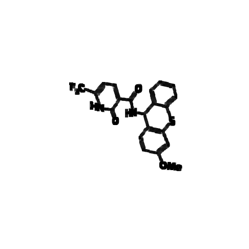 COc1ccc2c(c1)Sc1ccccc1C2NC(=O)c1ccc(C(F)(F)F)[nH]c1=O